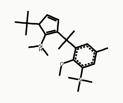 COc1c(C(C)(C)C2=C([SiH](C)C)C(C(C)(C)C)C=C2)cc(C)cc1[Si](C)(C)C